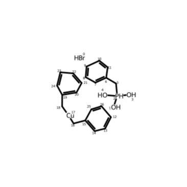 Br.O[PH](O)(O)Cc1ccccc1.c1ccc([CH2][Cu][CH2]c2ccccc2)cc1